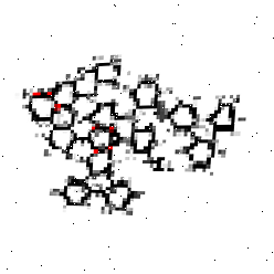 CC(C)(C)c1cc2c3c(c1)N(c1c(-c4ccccc4)cccc1-c1ccccc1)c1cc4c(cc1B3c1ccccc1S2)B1c2ccccc2N(c2ccc3c5ccccc5c5ccccc5c3c2)c2cc(C(C)(C)C)cc(c21)N4c1ccc2c3ccccc3c3ccccc3c2c1